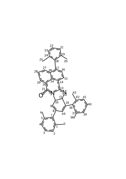 Cc1cccc(C)c1C1=CC2C(N=c3c4ccc(-c5c(C)cccc5C)c5cccc(c(=O)n32)c54)C(c2c(C)cccc2C)=C1